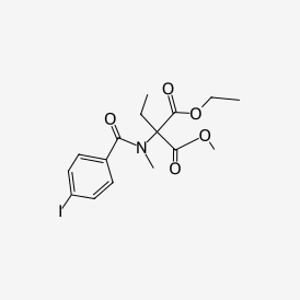 CCOC(=O)C(CC)(C(=O)OC)N(C)C(=O)c1ccc(I)cc1